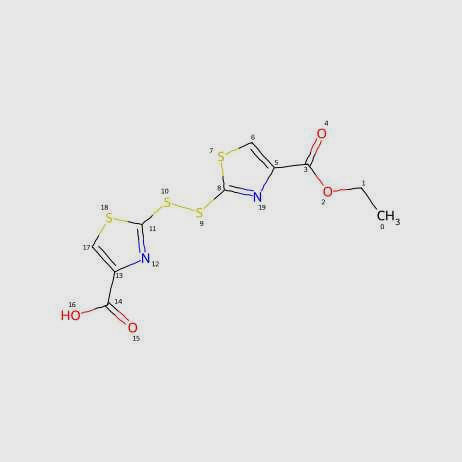 CCOC(=O)c1csc(SSc2nc(C(=O)O)cs2)n1